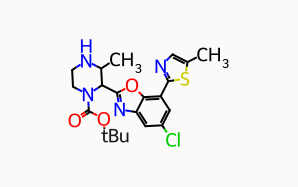 Cc1cnc(-c2cc(Cl)cc3nc(C4C(C)NCCN4C(=O)OC(C)(C)C)oc23)s1